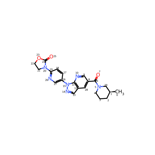 C[C@H]1CCCN(C(=O)c2cnc3c(cnn3-c3ccc(N4CCOC4=O)nc3)c2)C1